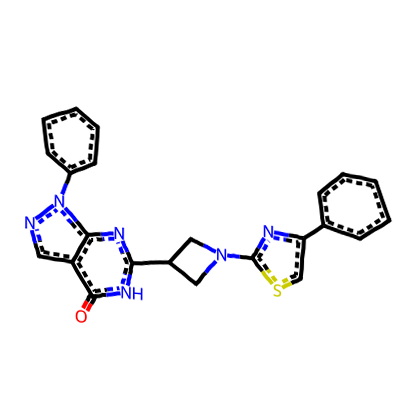 O=c1[nH]c(C2CN(c3nc(-c4ccccc4)cs3)C2)nc2c1cnn2-c1ccccc1